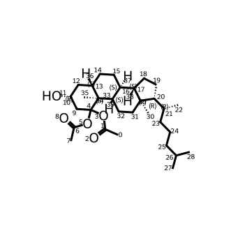 CC(=O)OC1(OC(C)=O)C[C@H](O)C[C@@H]2CC[C@H]3[C@@H]4CC[C@H]([C@H](C)CCCC(C)C)[C@@]4(C)CC[C@@H]3[C@]21C